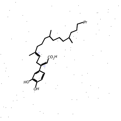 C/C(=C\C/C(=C\C(=O)O)c1ccc(O)c(O)c1)CCCC(C)CCCC(C)CCCC(C)C